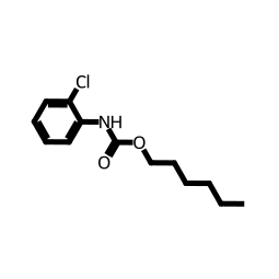 CCCCCCOC(=O)Nc1ccccc1Cl